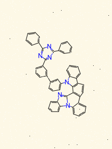 c1ccc(-c2nc(-c3ccccc3)nc(-c3cccc(-c4cccc(-n5c6ccccc6c6ccc7c8ccccc8n8c9ccccc9nc8c7c65)c4)c3)n2)cc1